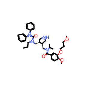 CCCN(C[C@@H]1CNC[C@H]1CN(C(=O)c1ccc(OC)c(OCCCOC)c1)C(C)C)C(=O)N(c1ccccc1)c1ccccc1